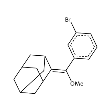 COC(=C1C2CC3CC(C2)CC1C3)c1cccc(Br)c1